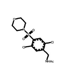 CC(=O)NCc1cc(Cl)c(S(=O)(=O)N2CCOCC2)cc1Cl